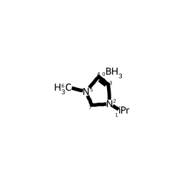 B.CC(C)N1C=CN(C)C1